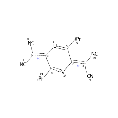 [C-]#[N+]/C(C#N)=[C]1[U]=[C](C(C)C)/[C](=C(/C#N)[N+]#[C-])[V]=[C]\1C(C)C